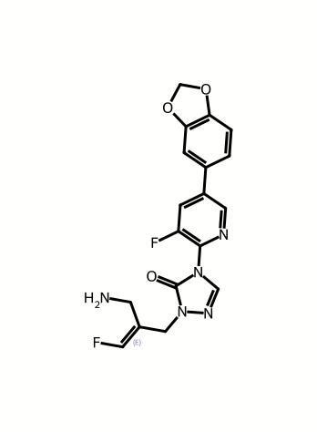 NC/C(=C\F)Cn1ncn(-c2ncc(-c3ccc4c(c3)OCO4)cc2F)c1=O